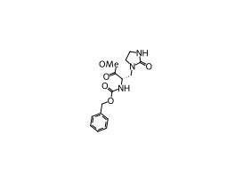 COC(=O)[C@H](CN1CCNC1=O)NC(=O)OCc1ccccc1